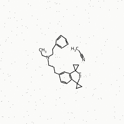 CC#N.CCN(CCCc1ccc(C2(F)CC2)c(C2(F)CC2)c1)CCc1ccccc1